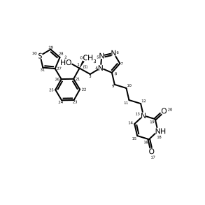 C[C@@](O)(Cn1nncc1CCCCn1ccc(=O)[nH]c1=O)c1ccccc1-c1ccsc1